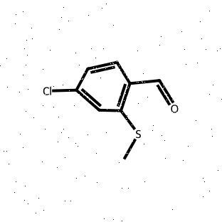 CSc1cc(Cl)ccc1C=O